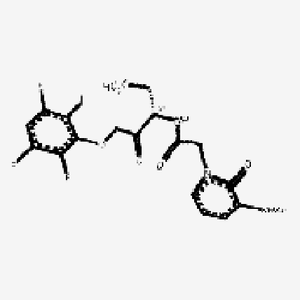 CC(=O)Nc1cccn(CC(=O)N[C@@H](CC(=O)O)C(=O)COc2c(F)c(F)cc(F)c2F)c1=O